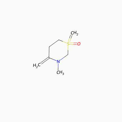 C=C1CCS(=C)(=O)CN1C